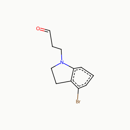 O=CCCN1CCc2c(Br)cccc21